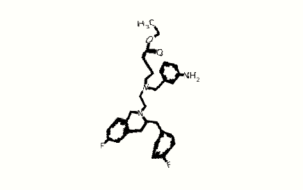 CCOC(=O)CCCN(CCN1Cc2ccc(F)cc2CC1Cc1ccc(F)cc1)Cc1cccc(N)c1